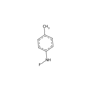 Cc1ccc(NF)cc1